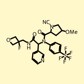 COC1CC(C(=O)N(c2ccc(S(F)(F)(F)(F)F)cc2)C(C(=O)NCC2(F)COC2)c2cccnc2)N(C#N)C1